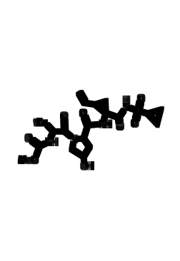 C=CC1CC1(NC(=O)C1CC(O)CN1C(=O)C(NC(=O)OC)C(C)(C)C)C(=O)NS(=O)(=O)C1CC1